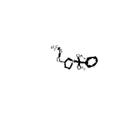 C=NO[C@@H]1CCN(C(C)(C)c2ccccc2)C1